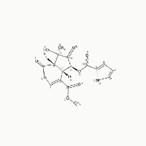 COC(=O)C1=COC(=O)[C@H]2[C@@H]1[C@H](OC(=O)c1ccc[nH]1)C(=O)[C@]2(C)O